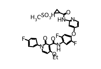 CCOc1ccn(-c2ccc(F)cc2)c(=O)c1C(=O)Nc1cc(F)c(Oc2ccnc(NC(=O)C3CC3)c2)cc1F.CS(=O)(=O)O